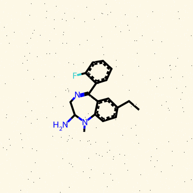 CCc1ccc2c(c1)C(c1ccccc1F)=NCC(N)N2C